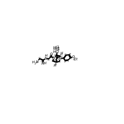 CCOc1ccc(N2C[C@H]3CN(C(=O)CNC(=N)CN)C[C@@H]2C(C)(C)C3)cc1.Cl.Cl.Cl